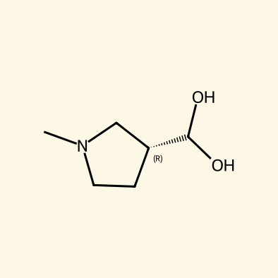 CN1CC[C@@H](C(O)O)C1